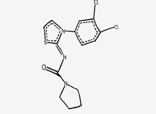 O=C(/N=c1\sccn1-c1ccc(Cl)c(Cl)c1)N1CCCC1